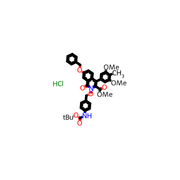 COC(=O)c1c(-c2cc(OC)c(C)c(OC)c2)c2ccc(OCc3ccccc3)cc2c(=O)n1OCc1ccc(NC(=O)OC(C)(C)C)cc1.Cl